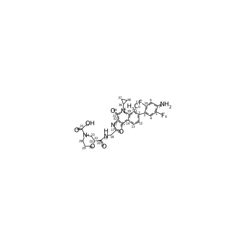 Cc1c(-c2cc(F)c(N)cc2F)ccc2c3oc(CNC(=O)[C@@H]4CN(C(=O)O)CCO4)nc3c(=O)n(C3CC3)c12